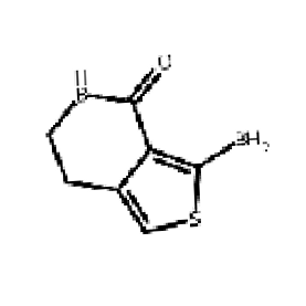 Bc1scc2c1C(=O)BCC2